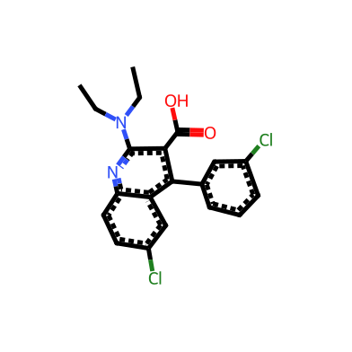 CCN(CC)c1nc2ccc(Cl)cc2c(-c2cccc(Cl)c2)c1C(=O)O